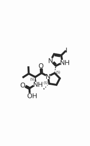 CC(C)[C@H](NC(=O)O)C(=O)N1[C@@H](C)CC[C@H]1c1ncc(I)[nH]1